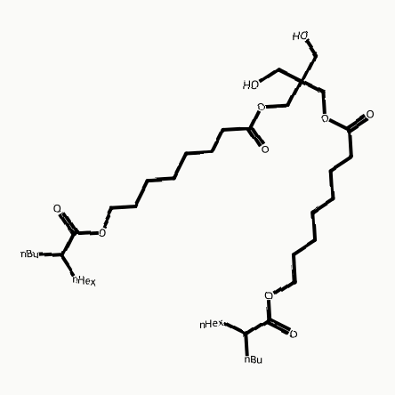 CCCCCCC(CCCC)C(=O)OCCCCCCCC(=O)OCC(CO)(CO)COC(=O)CCCCCCCOC(=O)C(CCCC)CCCCCC